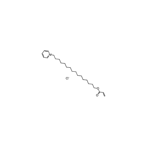 C=CC(=O)OCCCCCCCCCCCCCCCC[n+]1ccccc1.[Cl-]